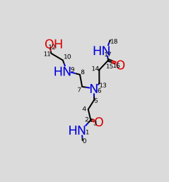 CNC(=O)CCN(CCNCCO)CCC(=O)NC